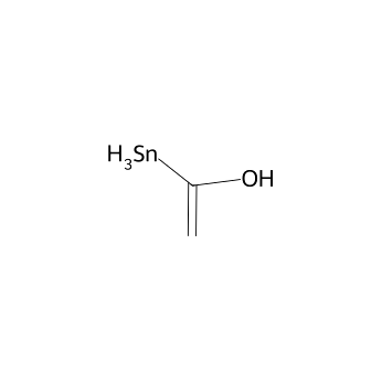 C=[C](O)[SnH3]